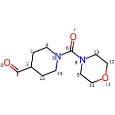 O=CC1CCN(C(=O)N2CCOCC2)CC1